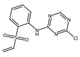 C=CS(=O)(=O)c1ccccc1Nc1n[c]nc(Cl)n1